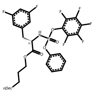 CCCCCCCCCCCCCOC(=O)[C@H](Cc1cc(F)cc(F)c1)NP(=O)(Oc1ccccc1)Oc1c(F)c(F)c(F)c(F)c1F